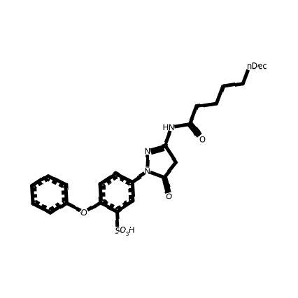 CCCCCCCCCCCCCCC(=O)NC1=NN(c2ccc(Oc3ccccc3)c(S(=O)(=O)O)c2)C(=O)C1